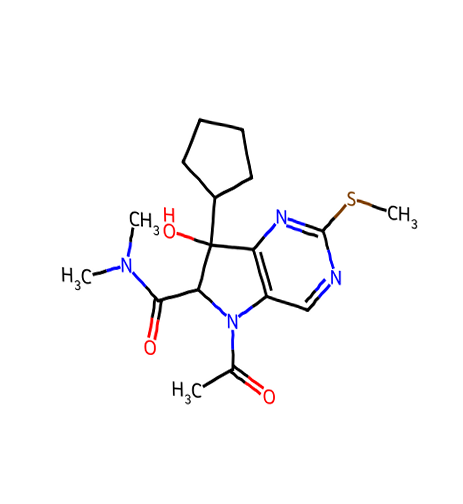 CSc1ncc2c(n1)C(O)(C1CCCC1)C(C(=O)N(C)C)N2C(C)=O